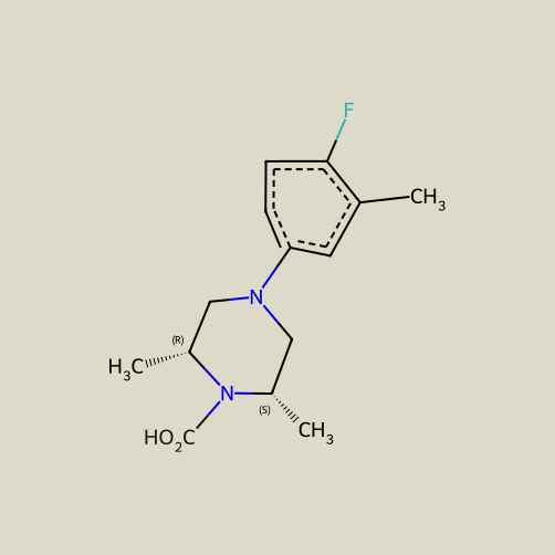 Cc1cc(N2C[C@@H](C)N(C(=O)O)[C@@H](C)C2)ccc1F